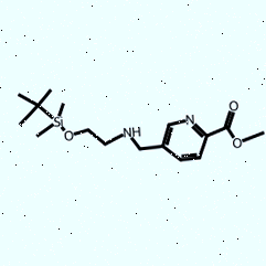 COC(=O)c1ccc(CNCCO[Si](C)(C)C(C)(C)C)cn1